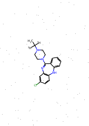 [2H]C([2H])(C)N1CCN(C2=Nc3cc(Cl)ccc3Nc3ccccc32)CC1